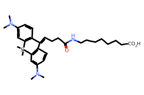 CN(C)c1ccc2c(c1)[Si](C)(C)c1cc(N(C)C)ccc1C2=CCCC(=O)NCCCCCCCC(=O)O